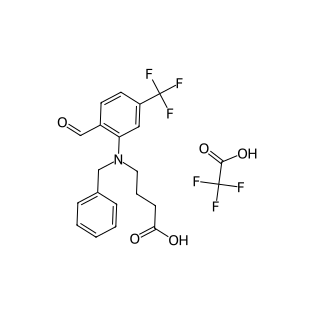 O=C(O)C(F)(F)F.O=Cc1ccc(C(F)(F)F)cc1N(CCCC(=O)O)Cc1ccccc1